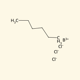 CCCCCC.[B+3].[Cl-].[Cl-].[Cl-]